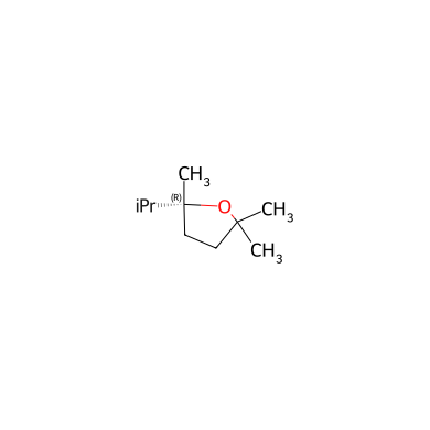 CC(C)[C@@]1(C)CCC(C)(C)O1